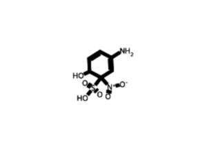 NC1=CC([N+](=O)[O-])(S(=O)(=O)O)C(O)C=C1